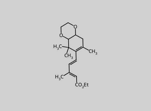 CCOC(=O)C=C(C)C=CC1=C(C)CC2OCCOC2C1(C)C